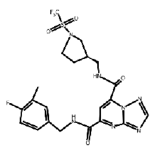 Cc1cc(CNC(=O)c2cc(C(=O)NC[C@H]3CCN(S(=O)(=O)C(F)(F)F)C3)n3ncnc3n2)ccc1F